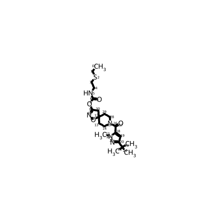 CCSCCNC(=O)OC1=NOC2(CCN(C(=O)c3cc(C(C)(C)C)nn3C)CC2)C1